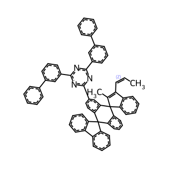 C/C=C\C1=C(C)C2(c3ccccc31)c1ccccc1C1(c3ccccc3-c3ccccc31)c1ccc(-c3nc(-c4cccc(-c5ccccc5)c4)nc(-c4cccc(-c5ccccc5)c4)n3)cc12